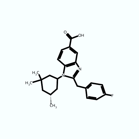 C[C@H]1CC(n2c(Cc3ccc(F)cc3)nc3cc(C(=O)O)ccc32)CC(C)(C)C1